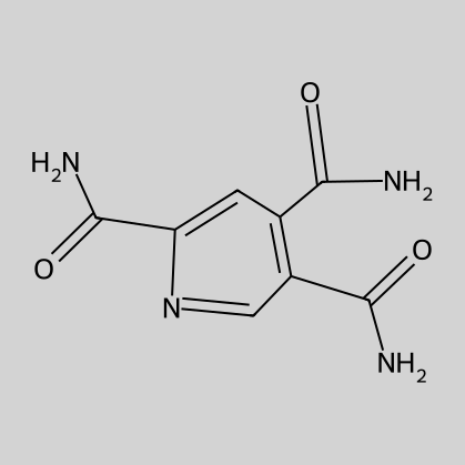 NC(=O)c1cc(C(N)=O)c(C(N)=O)cn1